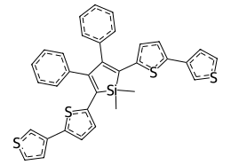 C[Si]1(C)C(c2ccc(-c3ccsc3)s2)=C(c2ccccc2)C(c2ccccc2)=C1c1ccc(-c2ccsc2)s1